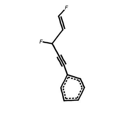 FC=CC(F)C#Cc1ccccc1